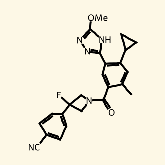 COc1nnc(-c2cc(C(=O)N3CC(F)(c4ccc(C#N)cc4)C3)c(C)cc2C2CC2)[nH]1